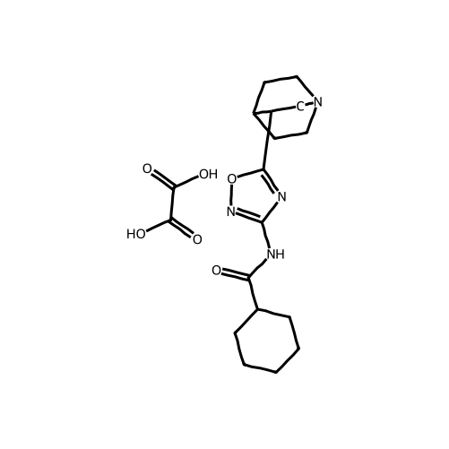 O=C(Nc1noc(C2CN3CCC2CC3)n1)C1CCCCC1.O=C(O)C(=O)O